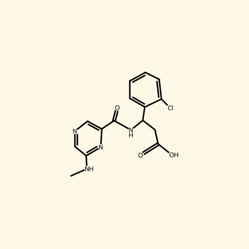 CNc1cncc(C(=O)NC(CC(=O)O)c2ccccc2Cl)n1